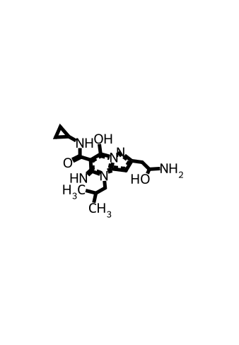 CC(C)Cn1c(=N)c(C(=O)NC2CC2)c(O)n2nc(CC(N)O)cc12